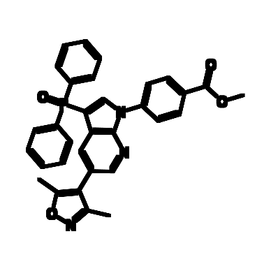 COC(=O)c1ccc(-n2cc(P(=O)(c3ccccc3)c3ccccc3)c3cc(-c4c(C)noc4C)cnc32)cc1